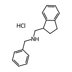 Cl.c1ccc(CNCC2CCc3ccccc32)cc1